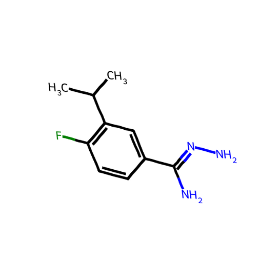 CC(C)c1cc(/C(N)=N/N)ccc1F